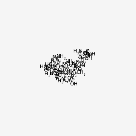 Cc1cn([C@H]2C[C@H](O)[C@@H](CN)O2)c(=O)[nH]c1=O.NC[C@H]1O[C@@H](n2ccc(N)nc2=O)[C@H](O)[C@@H]1OP(=O)(O)O.NC[C@H]1O[C@@H](n2cnc3c(=O)[nH]c(N)nc32)[C@H](O)[C@@H]1OP(=O)(O)O.NC[C@H]1O[C@@H](n2cnc3c(N)ncnc32)[C@H](O)[C@@H]1OP(=O)(O)O